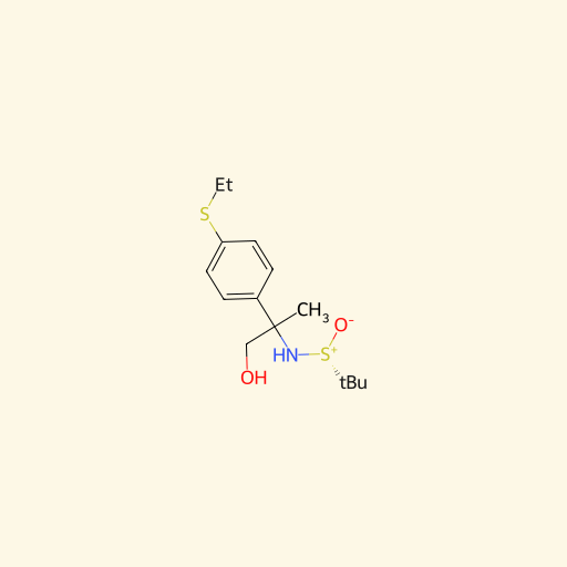 CCSc1ccc(C(C)(CO)N[S@+]([O-])C(C)(C)C)cc1